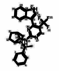 C[C@@H](c1ccccc1)N1CC2CCC1C2Nc1ncc(C(F)(F)F)c(-c2c[nH]c3ccccc23)n1